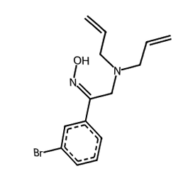 C=CCN(CC=C)CC(=NO)c1cccc(Br)c1